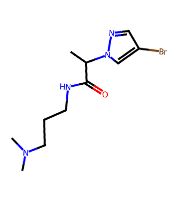 CC(C(=O)NCCCN(C)C)n1cc(Br)cn1